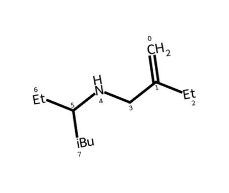 C=C(CC)CNC(CC)C(C)CC